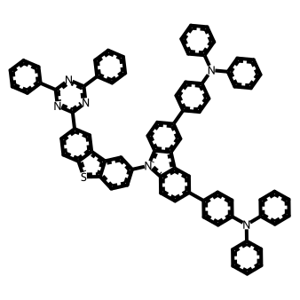 c1ccc(-c2nc(-c3ccccc3)nc(-c3ccc4sc5ccc(-n6c7ccc(-c8ccc(N(c9ccccc9)c9ccccc9)cc8)cc7c7cc(-c8ccc(N(c9ccccc9)c9ccccc9)cc8)ccc76)cc5c4c3)n2)cc1